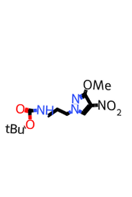 COc1nn(CCCNC(=O)OC(C)(C)C)cc1[N+](=O)[O-]